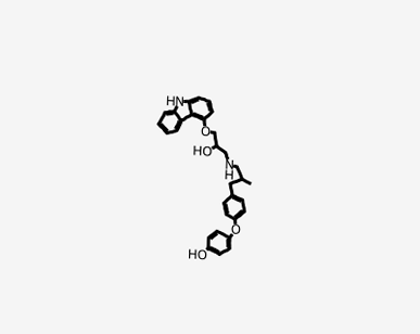 CC(CNCC(O)COc1cccc2[nH]c3ccccc3c12)Cc1ccc(Oc2ccc(O)cc2)cc1